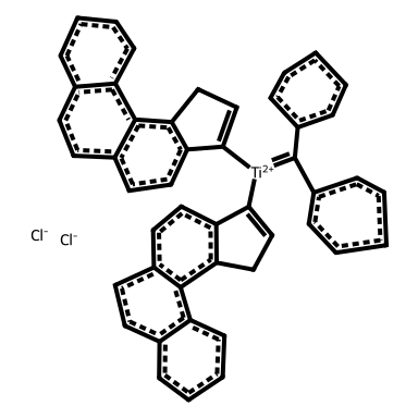 C1=[C]([Ti+2]([C]2=CCc3c2ccc2ccc4ccccc4c32)=[C](c2ccccc2)c2ccccc2)c2ccc3ccc4ccccc4c3c2C1.[Cl-].[Cl-]